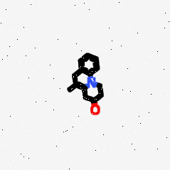 CC1=C2CC(=O)CCN2c2ccccc2C1